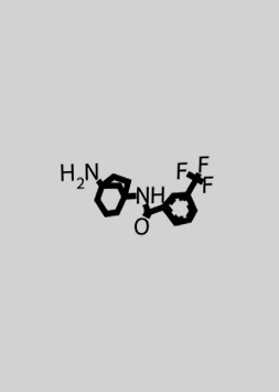 NC12CCCC(NC(=O)c3cccc(C(F)(F)F)c3)(CC1)C2